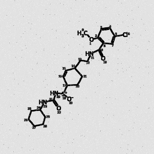 COc1ccc(Cl)cc1C(=O)NCCC1C=CC([S+]([O-])NC(=O)NC2CCCCC2)CC1